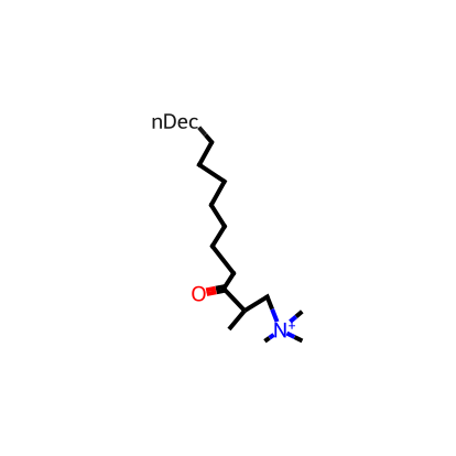 CCCCCCCCCCCCCCCCCC(=O)C(C)C[N+](C)(C)C